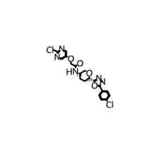 O=C(COc1cnc(Cl)nc1)N[C@H]1CC[C@@H](c2nnc(-c3ccc(Cl)cc3)o2)OC1